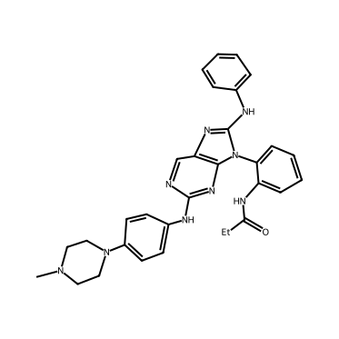 CCC(=O)Nc1ccccc1-n1c(Nc2ccccc2)nc2cnc(Nc3ccc(N4CCN(C)CC4)cc3)nc21